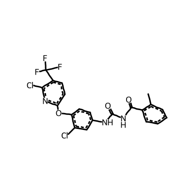 Cc1ccccc1C(=O)NC(=O)Nc1ccc(Oc2ccc(C(F)(F)F)c(Cl)n2)c(Cl)c1